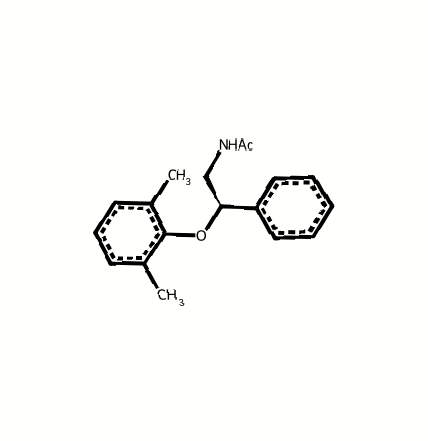 CC(=O)NC[C@H](Oc1c(C)cccc1C)c1ccccc1